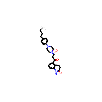 CCCCc1ccc(N2CCN(CCC(=O)c3cccc4c3CCC(=O)N4)CC2)cc1.O